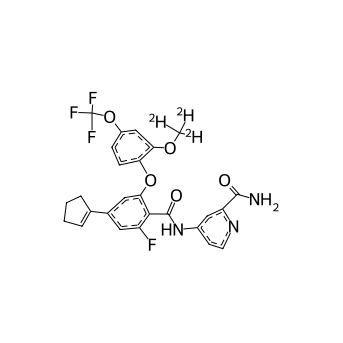 [2H]C([2H])([2H])Oc1cc(OC(F)(F)F)ccc1Oc1cc(C2=CCCC2)cc(F)c1C(=O)Nc1ccnc(C(N)=O)c1